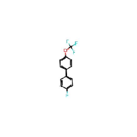 Fc1[c]cc(-c2ccc(OC(F)(F)F)cc2)cc1